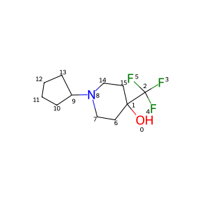 OC1(C(F)(F)F)CCN(C2CCCC2)CC1